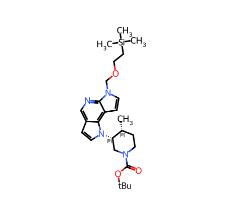 C[C@@H]1CCN(C(=O)OC(C)(C)C)C[C@@H]1n1ccc2cnc3c(ccn3COCC[Si](C)(C)C)c21